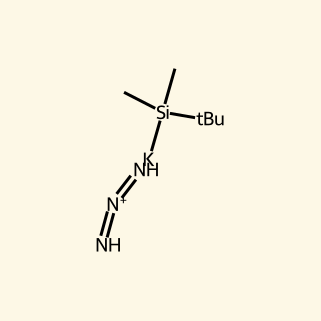 CC(C)(C)[Si](C)(C)[K].N=[N+]=N